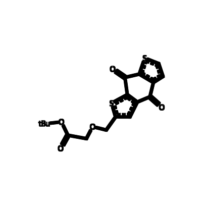 CC(C)(C)OC(=O)COCc1cc2c(s1)C(=O)c1sccc1C2=O